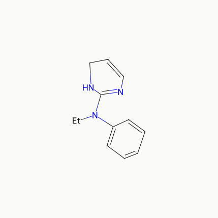 CCN(C1=NC=CCN1)c1ccccc1